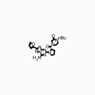 CCCCN1CCN(C(=O)[C@@H]2CCCN2c2nc(N)n3nc(-c4ccco4)nc3n2)CC1=O